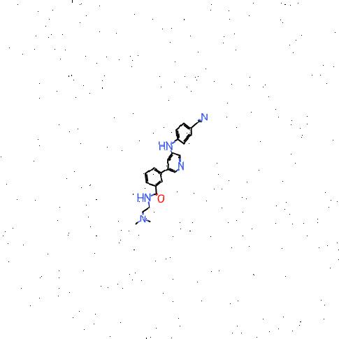 CN(C)CCNC(=O)c1cccc(-c2cncc(Nc3ccc(C#N)cc3)c2)c1